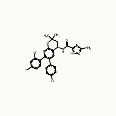 CC1(C)C[C@@H](NC(=O)c2nc(N)n[nH]2)c2cc(-c3ccc(Cl)cc3)c(-c3ccc(Cl)cc3Cl)nc2O1